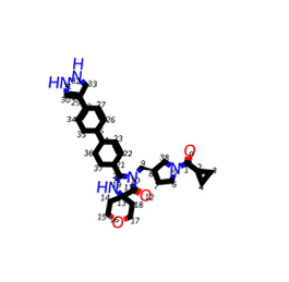 O=C(C1CC1)N1CC[C@@H](CN2C(=O)C3(CCOCC3)NC2C2C=CC(C3C=CC(C4=CNNC4)=CC3)CC2)C1